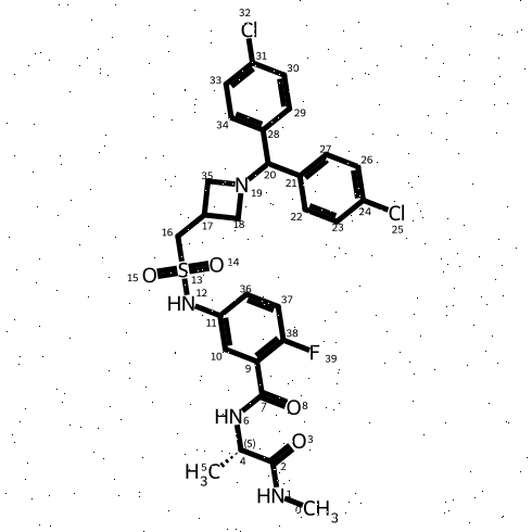 CNC(=O)[C@H](C)NC(=O)c1cc(NS(=O)(=O)CC2CN(C(c3ccc(Cl)cc3)c3ccc(Cl)cc3)C2)ccc1F